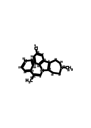 C/C(=C/n1c2c(c3cc(Cl)ccc31)CCN(C)CC2)c1ccncc1